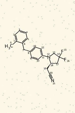 Cc1ccccc1Cc1ccc(N2CC(F)(F)C[C@H]2CC#N)cc1